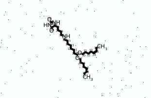 CC/C=C\CCCCOC(CCCCCCCNCCCCC1NC(=O)NC1=O)OCCCC/C=C\CC